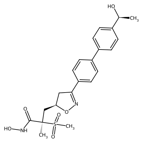 C[C@H](O)c1ccc(-c2ccc(C3=NO[C@@H](C[C@](C)(C(=O)NO)S(C)(=O)=O)C3)cc2)cc1